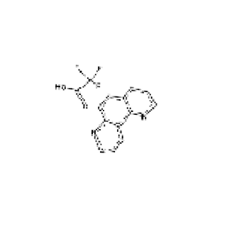 O=C(O)C(F)(F)F.c1cnc2c(c1)ccc1ncccc12